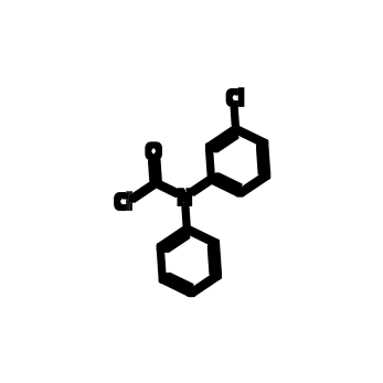 O=C(Cl)N(c1ccccc1)c1cccc(Cl)c1